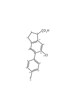 O=C(O)C1CCc2nc(-c3ccc(F)cc3)c(Cl)cc21